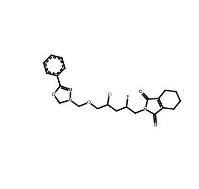 O=C1C2=C(CCCC2)C(=O)N1CC(F)CC(Cl)COCN1COC(c2ccccc2)=N1